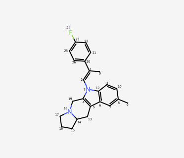 C/C(=C\n1c2c(c3cc(C)ccc31)CC1CCCN1C2)c1ccc(F)cc1